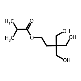 CC(C)C(=O)OCCC(CO)(CO)CO